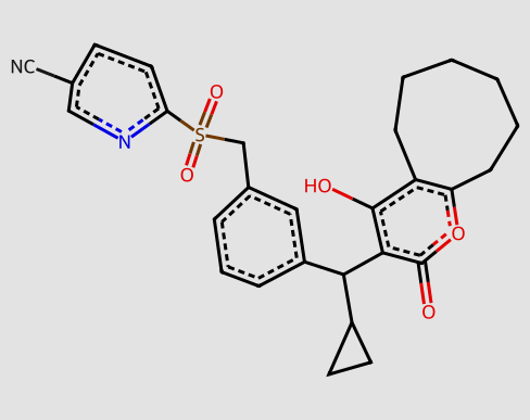 N#Cc1ccc(S(=O)(=O)Cc2cccc(C(c3c(O)c4c(oc3=O)CCCCCC4)C3CC3)c2)nc1